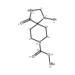 CC(C)N1CNC(=O)C12CCN(C(=O)OC(C)(C)C)CC2